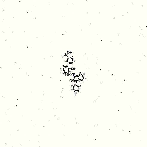 O=C(O)c1cccc(-c2cccc(N/N=C3\C(=O)N(c4ccc(F)cc4)c4ccccc43)c2O)c1